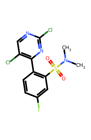 CN(C)S(=O)(=O)c1cc(F)ccc1-c1nc(Cl)ncc1Cl